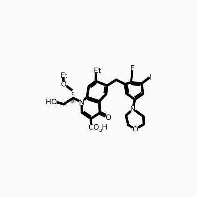 CCOC[C@@H](CO)n1cc(C(=O)O)c(=O)c2cc(Cc3cc(N4CCOCC4)cc(I)c3F)c(CC)cc21